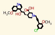 COc1ccc2nccc([C@H](O)CC[C@@H]3CCN(CC#Cc4cc(Cl)ccc4OC)C[C@@H]3C(=O)O)c2c1